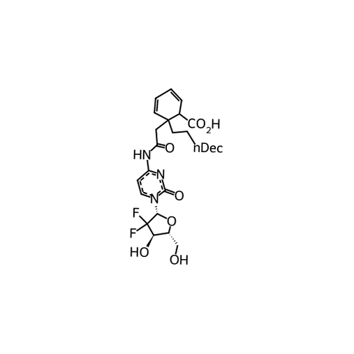 CCCCCCCCCCCCC1(CC(=O)Nc2ccn([C@@H]3O[C@H](CO)[C@@H](O)C3(F)F)c(=O)n2)C=CC=CC1C(=O)O